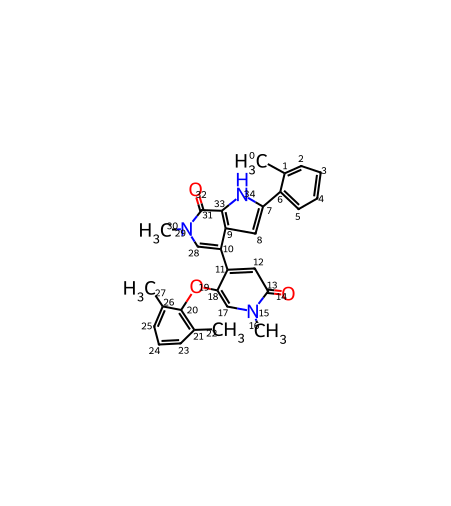 Cc1ccccc1-c1cc2c(-c3cc(=O)n(C)cc3Oc3c(C)cccc3C)cn(C)c(=O)c2[nH]1